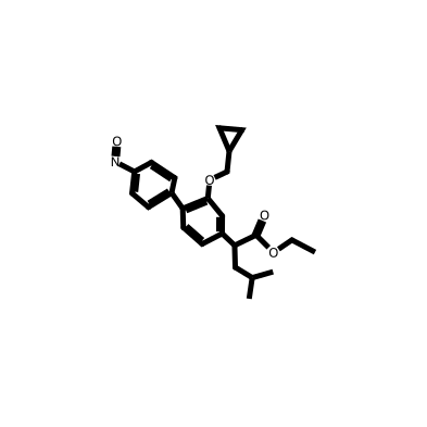 CCOC(=O)C(CC(C)C)c1ccc(-c2ccc(N=O)cc2)c(OCC2CC2)c1